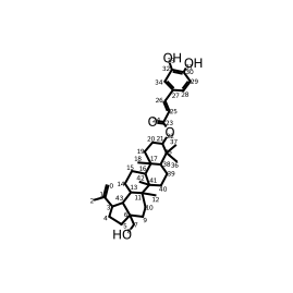 C=C(C)C1CCC2(CO)CCC3(C)C(CCC4C5(C)CCC(OC(=O)/C=C/c6ccc(O)c(O)c6)C(C)(C)C5CCC43C)C12